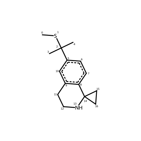 CSC(C)(C)c1ccc2c(c1)CCNC21CC1